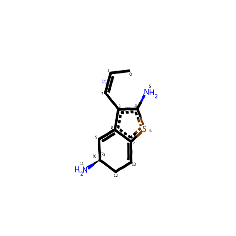 C/C=C\c1c(N)sc2c1=C[C@H](N)CC=2